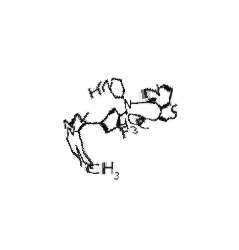 Cc1csc2ccnc(N(C(=O)c3ccc(-c4nnn5c4CN(C)CC5)cc3F)[C@@H]3CCCNC3)c12